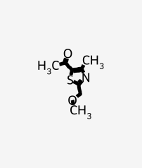 COCc1nc(C)c(C(C)=O)s1